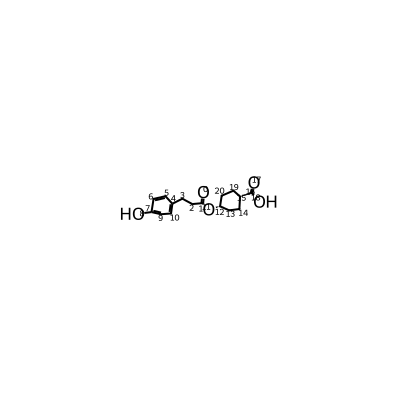 O=C(CCc1ccc(O)cc1)O[C@H]1CC[C@H](C(=O)O)CC1